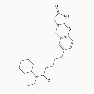 CC(C)N(C(=O)CCCOc1ccc2c(c1)CN1CC(=O)NC1=N2)C1CCCCC1